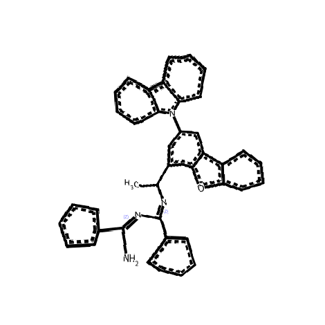 CC(/N=C(\N=C(/N)c1ccccc1)c1ccccc1)c1cc(-n2c3ccccc3c3ccccc32)cc2c1oc1ccccc12